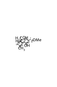 C=C(C)C1(O)C=C(CCOC)C=C(O)[C@H]1C1C=C(C)CCC1